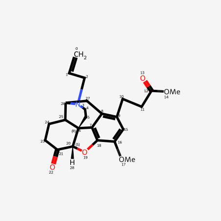 C=CCN1CC[C@@]23c4c5c(CCC(=O)OC)cc(OC)c4O[C@@H]2C(=O)CCC3C1C5